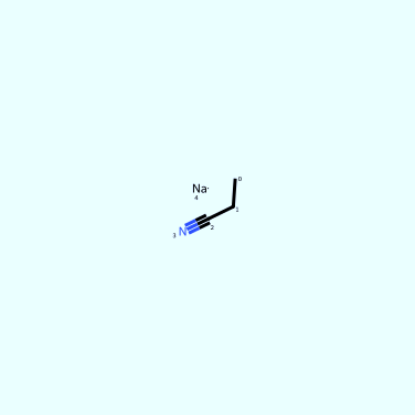 CCC#N.[Na]